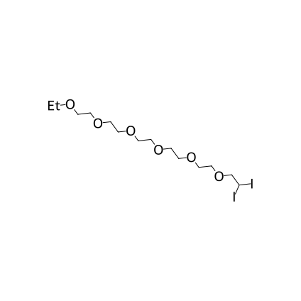 CCOCCOCCOCCOCCOCCOCC(I)I